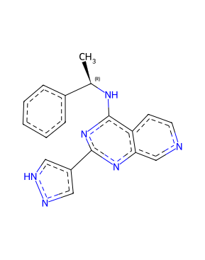 C[C@@H](Nc1nc(-c2cn[nH]c2)nc2cnccc12)c1ccccc1